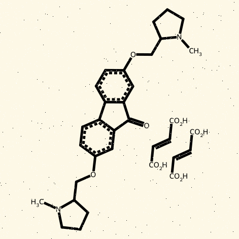 CN1CCCC1COc1ccc2c(c1)C(=O)c1cc(OCC3CCCN3C)ccc1-2.O=C(O)C=CC(=O)O.O=C(O)C=CC(=O)O